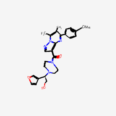 COc1ccc(-c2nc3c(C(=O)N4CCN([C@@H](CO)c5ccoc5)CC4)cnn3c(C(F)(F)F)c2C)cc1